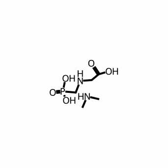 CNC.O=C(O)CNCP(=O)(O)O